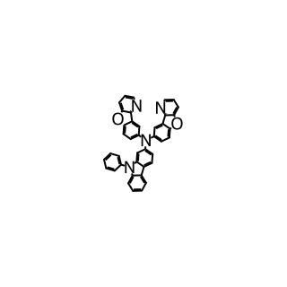 c1ccc(-n2c3ccccc3c3ccc(N(c4ccc5oc6cccnc6c5c4)c4ccc5oc6cccnc6c5c4)cc32)cc1